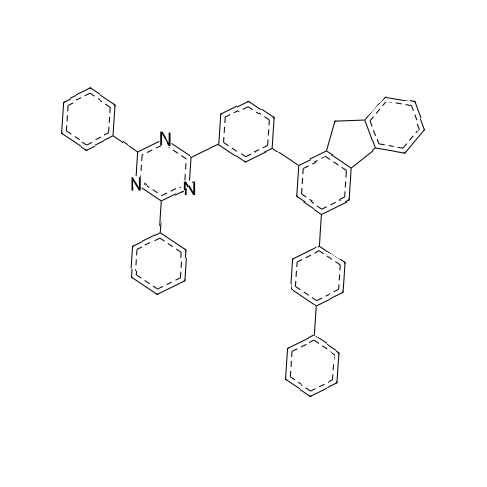 c1ccc(-c2ccc(-c3cc(-c4cccc(-c5nc(-c6ccccc6)nc(-c6ccccc6)n5)c4)c4c(c3)-c3ccccc3C4)cc2)cc1